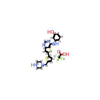 O=C(O)C(F)(F)F.Oc1cccc(Nc2ncnc3cc(-c4ccc(CN5CCNCC5)s4)sc23)c1